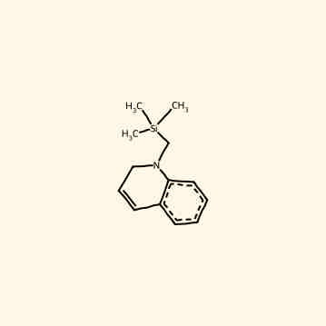 C[Si](C)(C)CN1CC=Cc2ccccc21